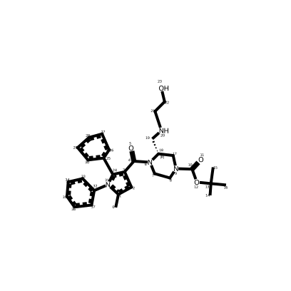 Cc1cc(C(=O)N2CCN(C(=O)OC(C)(C)C)C[C@H]2CNCCO)c(-c2ccccc2)n1-c1ccccc1